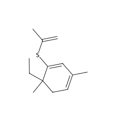 C=C(C)SC1=CC(C)=CCC1(C)CC